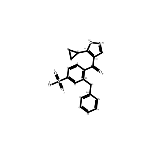 CCS(=O)(=O)c1ccc(C(=O)c2cnoc2C2CC2)c(Cc2ccccc2)c1